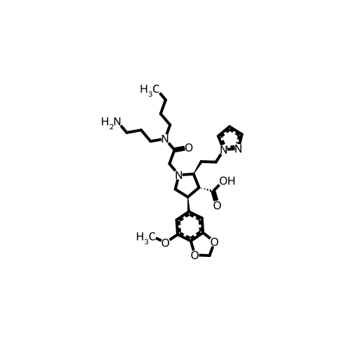 CCCCN(CCCN)C(=O)CN1C[C@H](c2cc(OC)c3c(c2)OCO3)[C@@H](C(=O)O)[C@@H]1CCn1cccn1